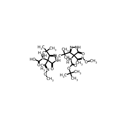 CON=C(C)C1(N(O)C(=O)O)C(=O)NN=C1C(C)(C)C.CON=C(C)C1(N(O)C(=O)OC(C)(C)C)C(=O)NN=C1C(C)(C)C